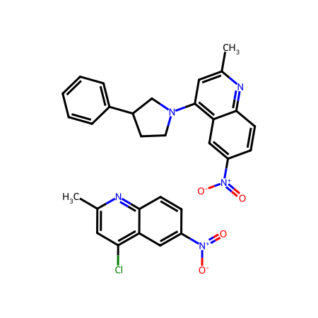 Cc1cc(Cl)c2cc([N+](=O)[O-])ccc2n1.Cc1cc(N2CCC(c3ccccc3)C2)c2cc([N+](=O)[O-])ccc2n1